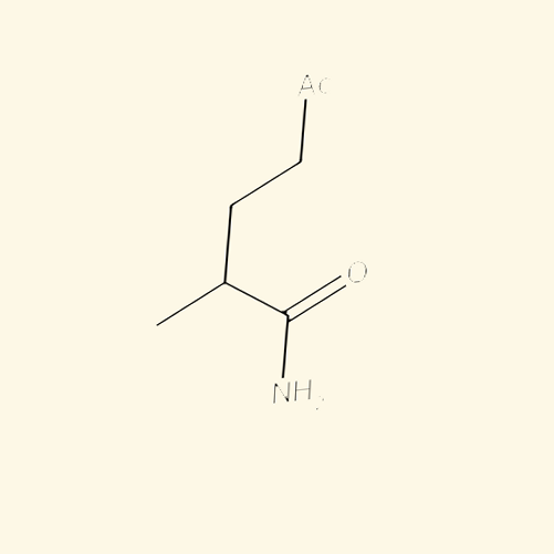 CC(=O)CCC(C)C(N)=O